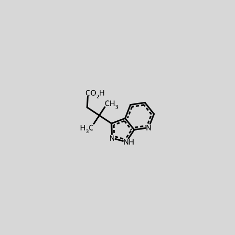 CC(C)(CC(=O)O)c1n[nH]c2ncccc12